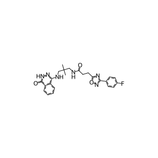 CC(C)(CNC(=O)CCc1nc(-c2ccc(F)cc2)no1)CNc1n[nH]c(=O)c2ccccc12